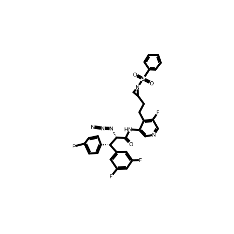 [N-]=[N+]=N[C@H](C(=O)Nc1cncc(F)c1CCC1CN1S(=O)(=O)c1ccccc1)[C@@H](c1ccc(F)cc1)c1cc(F)cc(F)c1